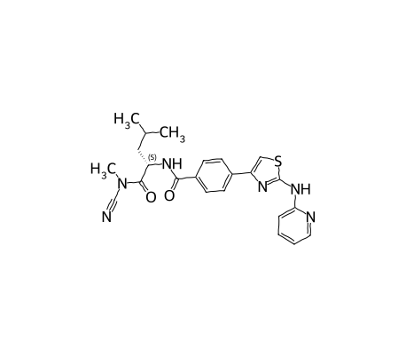 CC(C)C[C@H](NC(=O)c1ccc(-c2csc(Nc3ccccn3)n2)cc1)C(=O)N(C)C#N